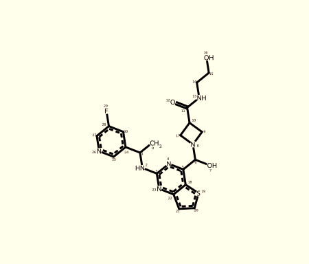 CC(Nc1nc(C(O)N2CC(C(=O)NCCO)C2)c2sccc2n1)c1cncc(F)c1